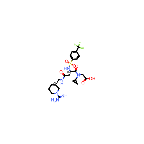 N=C(N)N1CCC[C@@H](CNC(=O)C[C@H](NS(=O)(=O)c2ccc(C(F)(F)F)cc2)C(=O)N(CC(=O)O)C2CC2)C1